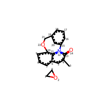 C1CO1.Cc1cc2cccc3c2n(c1=O)-c1cccc(c1)CO3